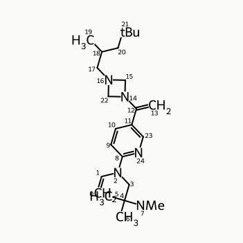 C=CN(CC(C)(C)NC)c1ccc(C(=C)N2CN(CC(C)CC(C)(C)C)C2)cn1